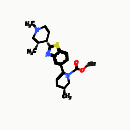 C[C@H]1CC=C(c2ccc3sc([C@H]4CCN(C)C[C@H]4C)nc3c2)N(C(=O)OC(C)(C)C)C1